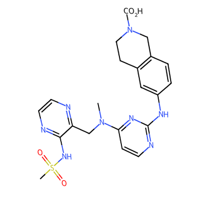 CN(Cc1nccnc1NS(C)(=O)=O)c1ccnc(Nc2ccc3c(c2)CCN(C(=O)O)C3)n1